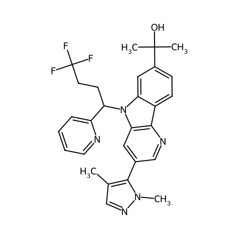 Cc1cnn(C)c1-c1cnc2c3ccc(C(C)(C)O)cc3n(C(CCC(F)(F)F)c3ccccn3)c2c1